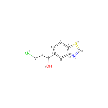 OC(CCCl)c1ccc2scnc2c1